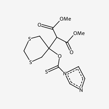 COC(=O)C(C(=O)OC)C1(OC(=S)n2ccnc2)CSCSC1